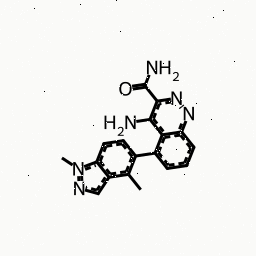 Cc1c(-c2cccc3nnc(C(N)=O)c(N)c23)ccc2c1cnn2C